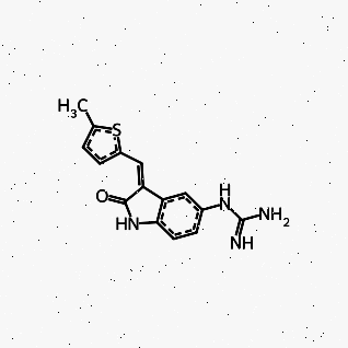 Cc1ccc(C=C2C(=O)Nc3ccc(NC(=N)N)cc32)s1